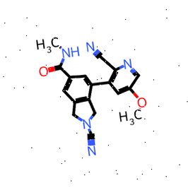 CNC(=O)c1cc2c(c(-c3cc(OC)cnc3C#N)c1)CN(C#N)C2